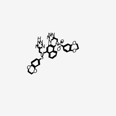 O=S(=O)(c1ccc2c(c1)OCCO2)N(Cc1nnn[nH]1)c1ccc(N(Cc2nn[nH]n2)Sc2ccc3c(c2)OCCO3)c2ccccc12